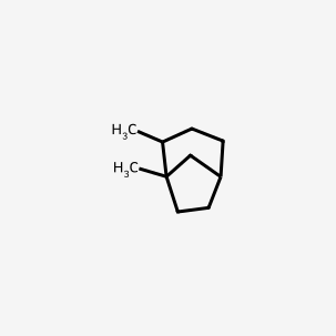 CC1CCC2CCC1(C)C2